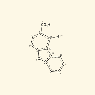 O=C(O)c1ccc2oc3ccccc3c2c1I